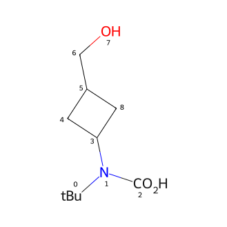 CC(C)(C)N(C(=O)O)C1CC(CO)C1